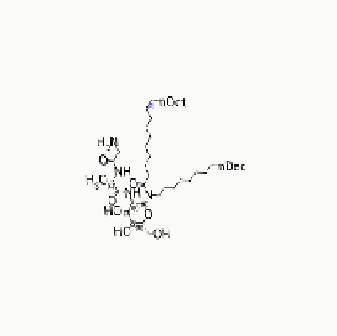 CCCCCCCC/C=C\CCCCCCCC(=O)N(CCCCCCCCCCCCCCCCCC)[C@@H]1O[C@H](CO)[C@@H](O)[C@H](O)[C@H]1NC(=O)[C@H](C)NC(=O)CN